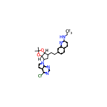 CC1(C)O[C@@H]2C(CCc3ccc4ccc(NCC(F)(F)F)nc4c3)CC(n3ccc4c(Cl)ncnc43)[C@@H]2O1